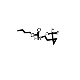 CCCCOC(=O)NCCC1(C(F)(F)F)CC1